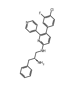 N[C@H](CNc1ccc(-c2ccc(Cl)c(F)c2)c(-c2ccncc2)n1)Cc1ccccc1